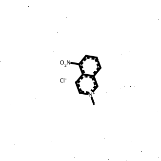 C[n+]1ccc2c([N+](=O)[O-])cccc2c1.[Cl-]